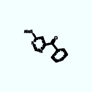 CSc1cc(C(=O)c2ccccc2)ncn1